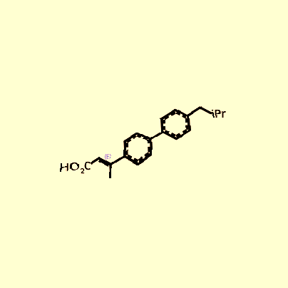 C/C(=C\C(=O)O)c1ccc(-c2ccc(CC(C)C)cc2)cc1